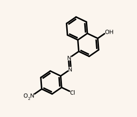 O=[N+]([O-])c1ccc(N=Nc2ccc(O)c3ccccc23)c(Cl)c1